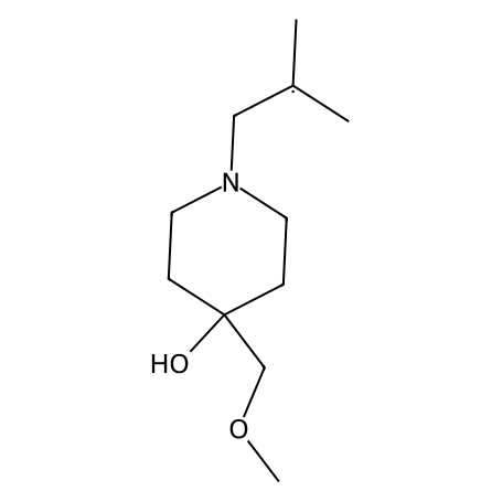 COCC1(O)CCN(C[C](C)C)CC1